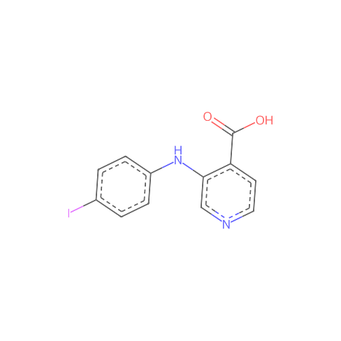 O=C(O)c1ccncc1Nc1ccc(I)cc1